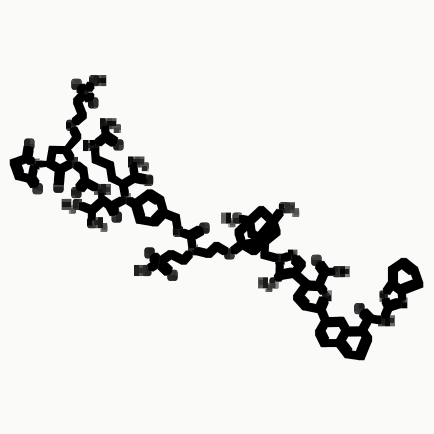 Cc1c(-c2ccc(-c3ccc4cccc(C(=O)Nc5nc6ccccc6s5)c4c3)nc2C(=O)O)cnn1CC12CC3(C)CC(C)(C1)CC(OCCN(CCS(=O)(=O)O)C(=O)OCc1ccc(N(C(=O)[C@@H](NC(=O)CN4C(=O)[C@@H](N5C(=O)C=CC5=O)C[C@H]4COCCS(=O)(=O)O)C(C)C)[C@@H](CCCNC(N)=O)C(N)=O)cc1)(C3)C2